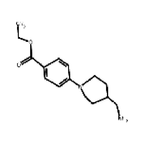 CCOC(=O)c1ccc(N2CCC(CN)CC2)cc1